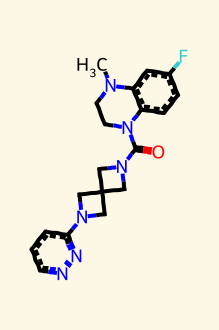 CN1CCN(C(=O)N2CC3(C2)CN(c2cccnn2)C3)c2ccc(F)cc21